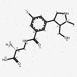 CN1NCC(c2cc(F)cc(C(=O)NC[C@@H](N)C(=O)O)c2)C1CO